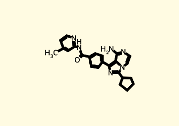 Cc1ccnc(NC(=O)c2ccc(-c3nc(C4CCCC4)n4ccnc(N)c34)cc2)c1